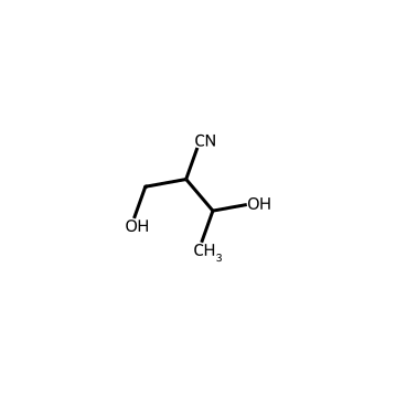 CC(O)C(C#N)CO